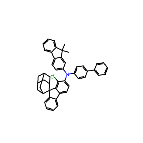 CC1(C)c2ccccc2-c2ccc(N(c3ccc(-c4ccccc4)cc3)c3ccc4c(c3Cl)C3(c5ccccc5-4)C4CC5CC(C4)CC3C5)cc21